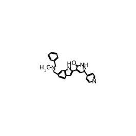 CN(Cc1ccccc1)Cc1ccc2cc(-c3cc(-c4ccncc4)n[nH]c3=O)[nH]c2c1